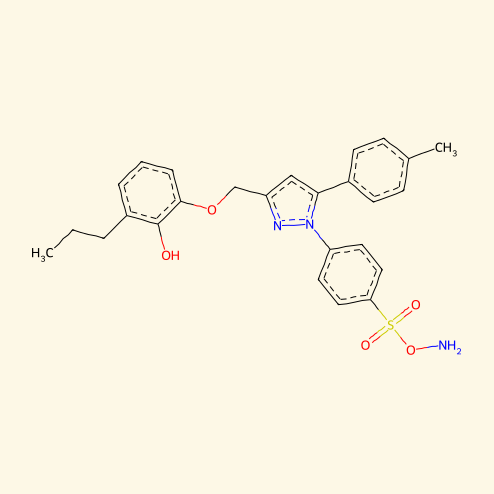 CCCc1cccc(OCc2cc(-c3ccc(C)cc3)n(-c3ccc(S(=O)(=O)ON)cc3)n2)c1O